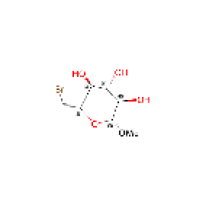 CO[C@@H]1O[C@H](CBr)[C@@H](O)[C@H](O)[C@H]1O